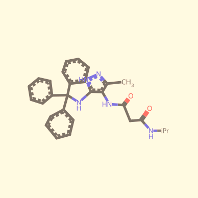 [CH2]C([CH2])NC(=O)CC(=O)Nc1c(C)n[nH]c1NC(c1ccccc1)(c1ccccc1)c1ccccc1